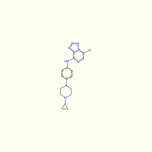 Brc1cnc(Nc2ccc(N3CCN(C4CC4)CC3)cc2)c2ncnn12